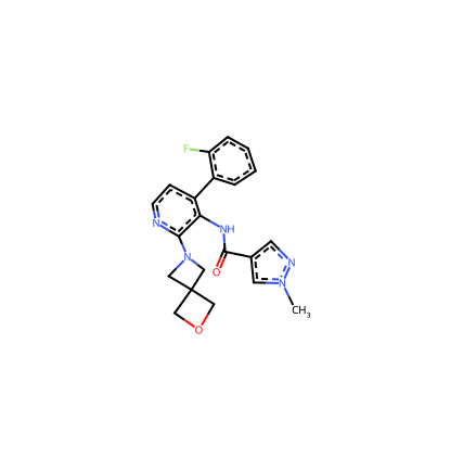 Cn1cc(C(=O)Nc2c(-c3ccccc3F)ccnc2N2CC3(COC3)C2)cn1